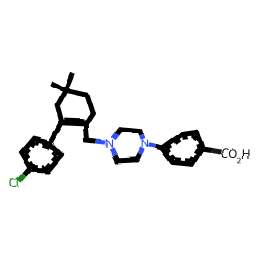 CC1(C)CCC(CN2CCN(c3ccc(C(=O)O)cc3)CC2)=C(c2ccc(Cl)cc2)C1